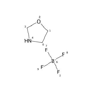 C1COCN1.F[B-](F)(F)F